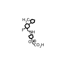 Cc1ccccc1-c1ccc(F)c(CNc2ccc(S(=O)(=O)CC(=O)O)cc2)c1